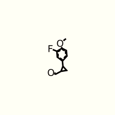 COc1ccc(C2CC2C=O)cc1F